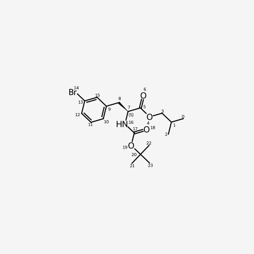 CC(C)COC(=O)[C@H](Cc1cccc(Br)c1)NC(=O)OC(C)(C)C